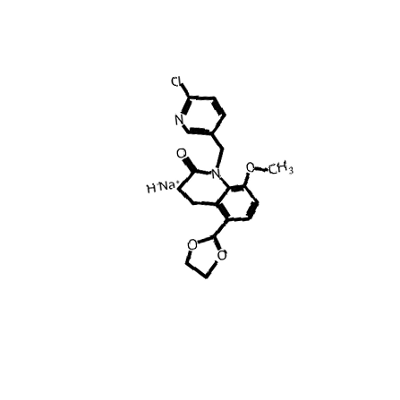 COc1ccc(C2OCCO2)c2c1N(Cc1ccc(Cl)nc1)C(=O)CC2.[H-].[Na+]